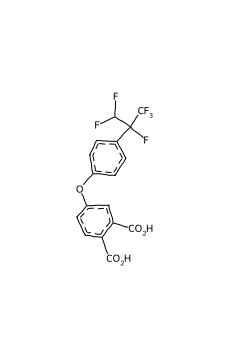 O=C(O)c1ccc(Oc2ccc(C(F)(C(F)F)C(F)(F)F)cc2)cc1C(=O)O